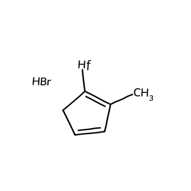 Br.CC1=[C]([Hf])CC=C1